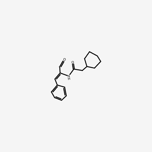 O=[C]C(=Cc1ccccc1)NC(=O)CC1CCCCC1